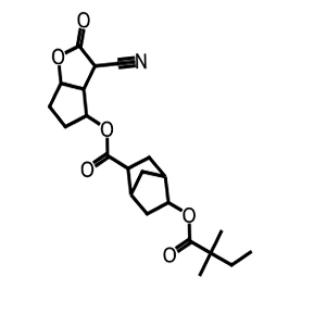 CCC(C)(C)C(=O)OC1CC2CC1CC2C(=O)OC1CCC2OC(=O)C(C#N)C21